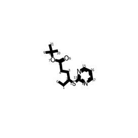 CCC(CCC(=O)OC(C)(C)C)Sc1ncccn1